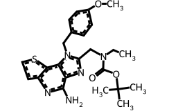 CCN(Cc1nc2c(N)nc3ccsc3c2n1Cc1ccc(OC)cc1)C(=O)OC(C)(C)C